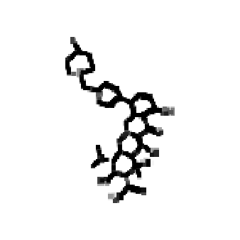 CN(C)[C@@H]1C(O)=C(C(N)=O)C(C)(O)C2C(O)=C3C(=O)c4c(O)ccc(-c5ccc(CN6CCC(F)CC6)cc5)c4CC3CC21